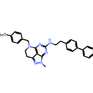 COc1ccc(CN2CCc3nn(C)c4nc(NCCc5ccc(-c6ccccc6)cc5)nc2c34)cc1